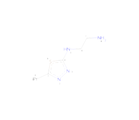 CC(C)c1nnc(NCCN)s1